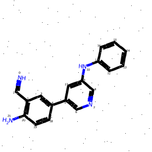 N=Cc1cc(-c2cncc(Nc3ccccc3)c2)ccc1N